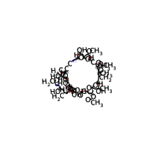 C=C(Cl)/C=C/[C@@H](O)CC(=C)C[C@H]1O[C@@H]2[C@H](C)[C@@H](OC(=O)C[C@H]3C[C@H](OC(C)=O)C[C@@]4(CC(C)(O)C[C@H](CC(=C)[C@@H](C)C(OC(C)=O)[C@H](C)C(=O)C[C@@H]5C[C@H](OC)C[C@@]6(C[C@@H](O)C[C@H](/C=C\CCC[C@H]7O[C@](O)(C[C@H](O)[C@H]7C)[C@H]2O)O6)O5)O4)O3)[C@@H]1O